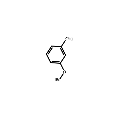 CC(C)(C)Oc1cccc(C=O)c1